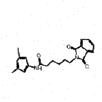 Cc1cc(I)cc(NC(=O)CCCCCN2C(=O)c3ccccc3C2=O)c1